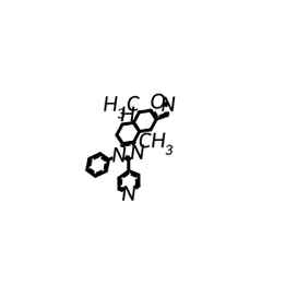 C[C@@H]1c2oncc2C[C@]2(C)c3nc(-c4ccncc4)n(-c4ccccc4)c3CC[C@@H]12